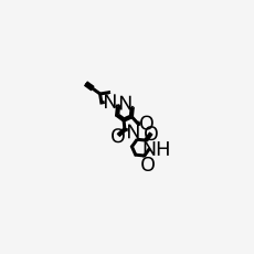 C#CC1CN(c2cc3c(cn2)C(=O)N(C2CCC(=O)NC2=O)C3=O)C1